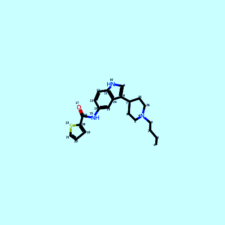 CCCCN1CCC(c2c[nH]c3ccc(NC(=O)c4cccs4)cc23)CC1